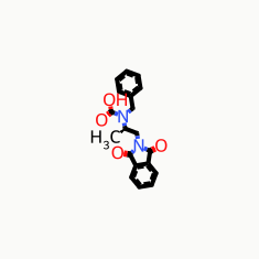 C[C@H](CN1C(=O)c2ccccc2C1=O)N(Cc1ccccc1)C(=O)O